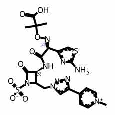 C[n+]1ccc(-c2cn(CC3[C@H](NC(=O)/C(=N\OC(C)(C)C(=O)O)c4csc(N)n4)C(=O)N3S(=O)(=O)[O-])nn2)cc1